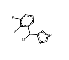 CCC(c1c[nH]cn1)c1cccc(F)c1F